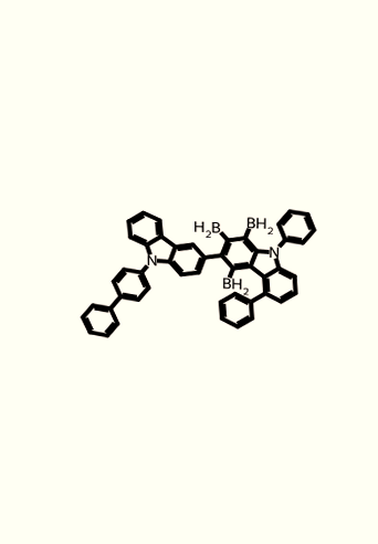 Bc1c(-c2ccc3c(c2)c2ccccc2n3-c2ccc(-c3ccccc3)cc2)c(B)c2c3c(-c4ccccc4)cccc3n(-c3ccccc3)c2c1B